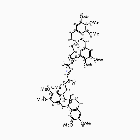 COc1cc2c(cc1OC)C(Cc1cc(OC)c(OC)c(OC)c1)[N+](C)(CCCOC(=O)/C=C/C(=O)OCCC[N+]1(C)CCc3cc(OC)c(OC)c(OC)c3C1Cc1cc(OC)c(OC)c(OC)c1)CC2